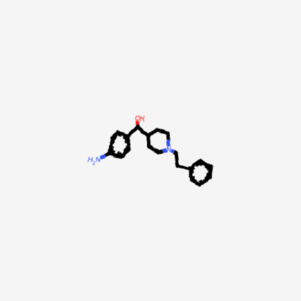 Nc1ccc(C(O)C2CCN(CCc3ccccc3)CC2)cc1